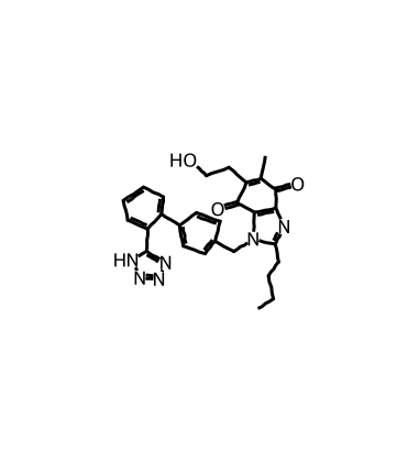 CCCCc1nc2c(n1Cc1ccc(-c3ccccc3-c3nnn[nH]3)cc1)C(=O)C(CCO)=C(C)C2=O